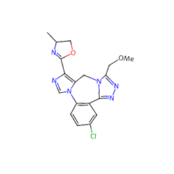 COCc1nnc2n1Cc1c(C3=NC(C)CO3)ncn1-c1ccc(Cl)cc1-2